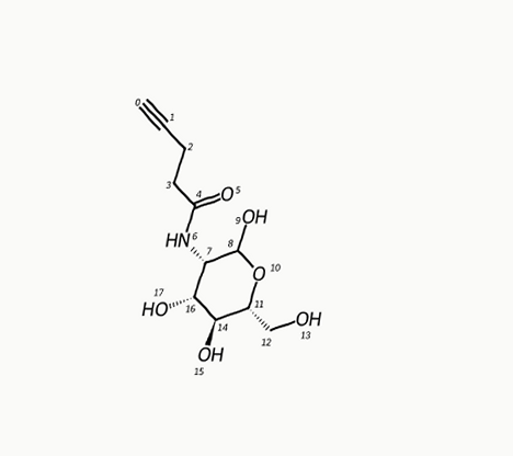 C#CCCC(=O)N[C@@H]1C(O)O[C@H](CO)[C@@H](O)[C@@H]1O